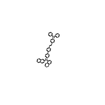 C1=Cc2c(cccc2N(c2ccc(-c3ccc(/C=C/c4ccc(N(c5ccccc5)c5ccccc5)cc4)cc3)cc2)c2ccc3ccccc3c2)CC1